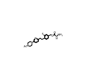 CC(=O)N1CCN(c2ccc(CCc3ccc(COC(=O)NN)cc3F)nc2)CC1